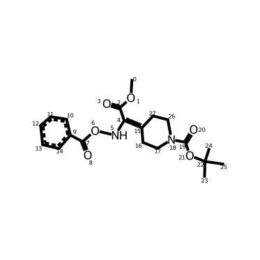 COC(=O)C(NOC(=O)c1ccccc1)=C1CCN(C(=O)OC(C)(C)C)CC1